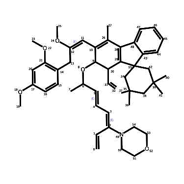 C=C/C(=C\C=C\C(C)OC1C(/C=C(\Cc2ccc(OC)cc2OC)OC)=C(C)C2=C(C1C=C)C1(CC(C)(C)CC(C)(C)C1)c1ccccc12)N1CCOCC1